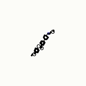 CCOc1ccc(OC(=O)c2ccc([C@H]3CC[C@H](/C=C/COC)CC3)cc2)cc1